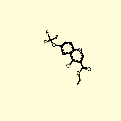 CCOC(=O)c1cnc2ccc(OC(F)(F)F)cc2c1Cl